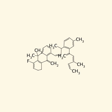 C=C(/C=C(C)\C=C/C)c1cc(C)ccc1C(C)/C=C\c1cccc2c1C(=C)C1=C(C(F)=CCC1)C2(C)C